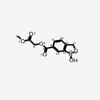 COC(=O)COC(=O)c1ccc2c(c1)B(O)OC2